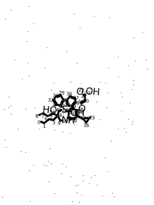 CCCCC1(CCCC)CNc2cc(C3CC3)c(O/C=C/C(=O)O)cc2S(c2ccccc2O)(c2ccccc2O)C1